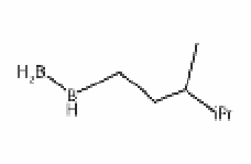 BBCCC(C)C(C)C